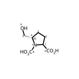 O=C(O)C1CC[C@@H](CO)N1C(=O)O